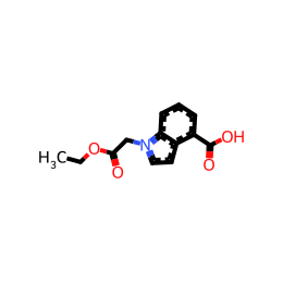 CCOC(=O)Cn1ccc2c(C(=O)O)cccc21